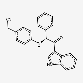 N#CCc1ccc(N[C@H](C(=O)c2c[nH]c3ccccc23)c2ccccc2)cc1